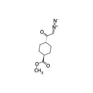 COC(=O)[C@H]1CC[C@H](C(=O)C=[N+]=[N-])CC1